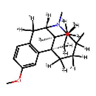 [2H]C1([2H])N(C)[C@@]2([2H])C([2H])([2H])c3ccc(OC)cc3[C@]3(C1([2H])[2H])C([2H])([2H])C([2H])([2H])C([2H])(C)C([2H])([2H])[C@@]32[2H]